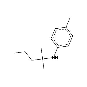 CCCC(C)(C)Nc1ccc(C)cc1